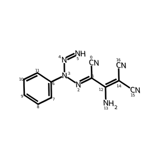 N#CC(=NN(N=N)c1ccccc1)C(N)=C(C#N)C#N